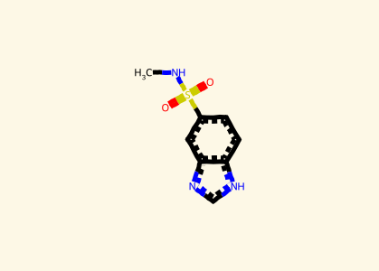 CNS(=O)(=O)c1ccc2[nH]cnc2c1